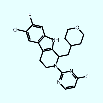 Fc1cc2[nH]c3c(c2cc1Cl)CCN(c1nccc(Cl)n1)C3CC1CCOCC1